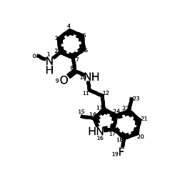 CNc1ccccc1C(=O)NCCc1c(C)[nH]c2c(F)ccc(C)c12